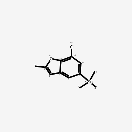 Cc1cc2c[c]([Sn]([CH3])([CH3])[CH3])cc(Cl)c2o1